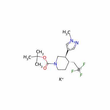 Cn1cc([C@@H]2CN(C(=O)OC(C)(C)C)CC[C@H]2C[B-](F)(F)F)cn1.[K+]